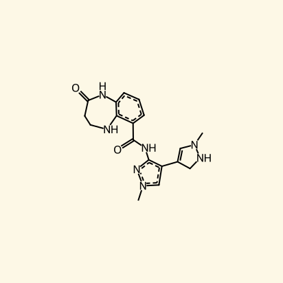 CN1C=C(c2cn(C)nc2NC(=O)c2cccc3c2NCCC(=O)N3)CN1